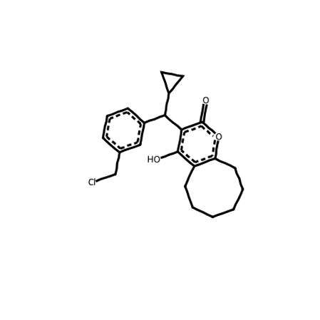 O=c1oc2c(c(O)c1C(c1cccc(CCl)c1)C1CC1)CCCCCC2